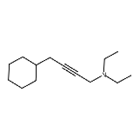 CCN(CC)CC#CCC1CCCCC1